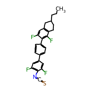 CCCC1CCc2c(cc(F)c(-c3ccc(-c4cc(F)c(N=C=S)c(F)c4)cc3)c2F)C1